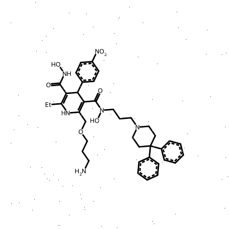 CCC1=C(C(=O)NO)C(c2ccc([N+](=O)[O-])cc2)C(C(=O)N(O)CCCN2CCC(c3ccccc3)(c3ccccc3)CC2)=C(COCCCN)N1